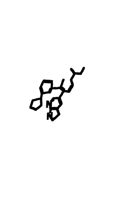 CCC(C)C/C=C\C(=C(/C)c1cccc(C2CCCC2)c1)c1cnc2c(c1)CC=N2